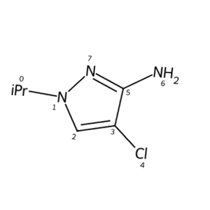 CC(C)n1cc(Cl)c(N)n1